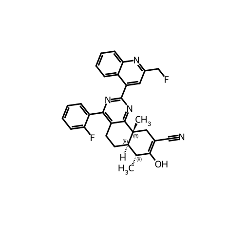 C[C@H]1C(O)=C(C#N)C[C@@]2(C)c3nc(-c4cc(CF)nc5ccccc45)nc(-c4ccccc4F)c3CC[C@H]12